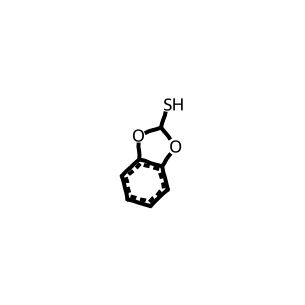 SC1Oc2ccccc2O1